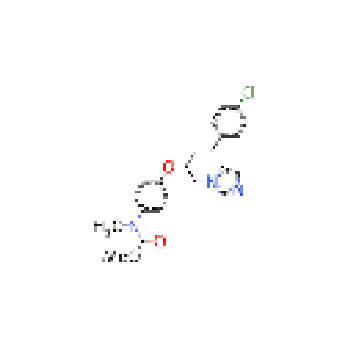 COC(=O)N(C)c1ccc(OC(CCc2ccc(Cl)cc2)Cn2ccnc2)cc1